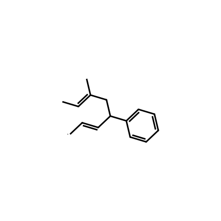 [CH2]C=CC(CC(C)=CC)c1ccccc1